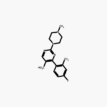 Cc1cc(F)ccc1-c1nc(N2CCN(C)CC2)ncc1C(=O)O